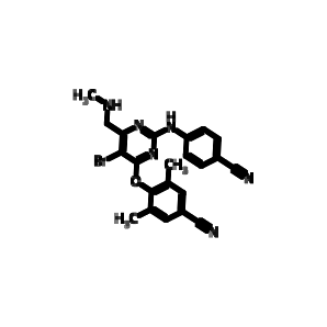 CNCc1nc(Nc2ccc(C#N)cc2)nc(Oc2c(C)cc(C#N)cc2C)c1Br